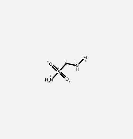 CCN[CH]S(N)(=O)=O